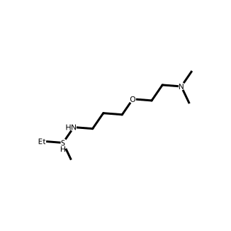 CC[SH](C)NCCCOCCN(C)C